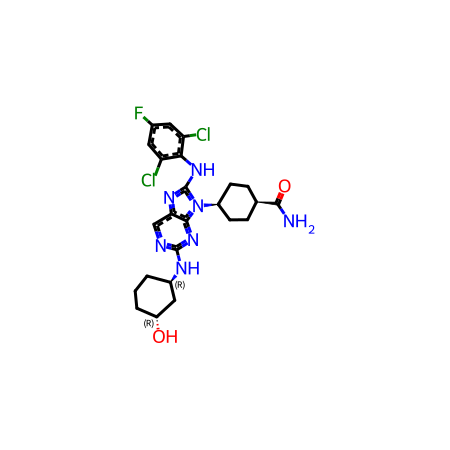 NC(=O)[C@H]1CC[C@@H](n2c(Nc3c(Cl)cc(F)cc3Cl)nc3cnc(N[C@@H]4CCC[C@@H](O)C4)nc32)CC1